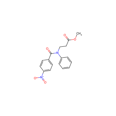 COC(=O)CCN(C(=O)c1ccc([N+](=O)[O-])cc1)c1ccccc1